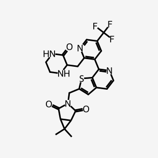 CC1(C)C2C(=O)N(Cc3cc4ccnc(-c5cc(C(F)(F)F)cnc5CC5NCCNC5=O)c4s3)C(=O)C21